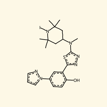 CN(c1nnc(-c2cc(-n3cccn3)ccc2O)s1)C1CC(C)(C)N(I)C(C)(C)C1